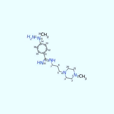 CN1CCN(CCCNC(=N)c2ccc(N(C)N)cc2)CC1